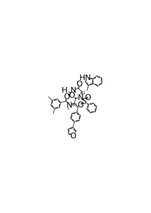 Cc1cc(C)cc(C(=O)N(C)[C@H](Cc2ccc(-c3ccoc3)cc2)C(=O)N([C@@H](Cc2c[nH]c3ccccc23)C(N)=O)S(=O)(=O)c2ccccc2)c1